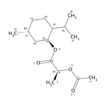 CC(=O)O[C@@H](C)C(=O)O[C@H]1C[C@H](C)CCC1C(C)C